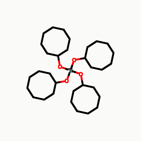 C1CCCC([O][Ti]([O]C2CCCCCCC2)([O]C2CCCCCCC2)[O]C2CCCCCCC2)CCC1